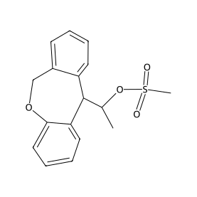 CC(OS(C)(=O)=O)C1c2ccccc2COc2ccccc21